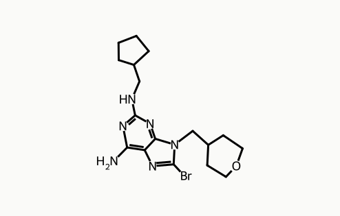 Nc1nc(NCC2CCCC2)nc2c1nc(Br)n2CC1CCOCC1